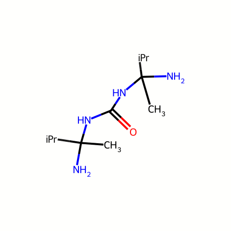 CC(C)C(C)(N)NC(=O)NC(C)(N)C(C)C